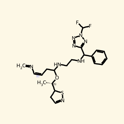 C=N/C=C\CC(NCCNC(c1ccccc1)c1nnn(C(F)F)n1)O[C@@H](C)C1CC=NS1